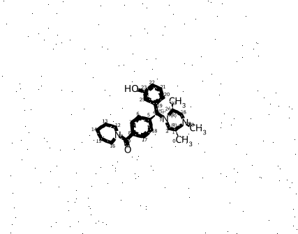 C[C@@H]1CN([C@@H](c2ccc(C(=O)N3CCCCC3)cc2)c2cccc(O)c2)[C@H](C)CN1C